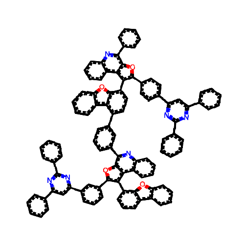 c1ccc(-c2cc(-c3ccc(-c4oc5c(-c6ccccc6)nc6ccccc6c5c4-c4ccc(-c5cccc(-c6nc7ccccc7c7c(-c8cccc9c8oc8ccccc89)c(-c8cccc(-c9cc(-c%10ccccc%10)nc(-c%10ccccc%10)n9)c8)oc67)c5)c5c4oc4ccccc45)cc3)nc(-c3ccccc3)n2)cc1